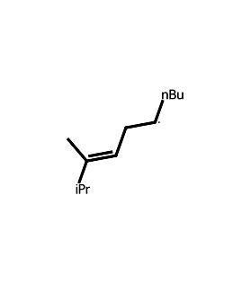 CCCC[CH]CC=C(C)C(C)C